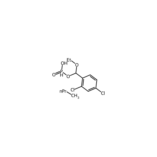 CCCC.CCOC(O[PH](=O)O)c1ccc(Cl)cc1Cl